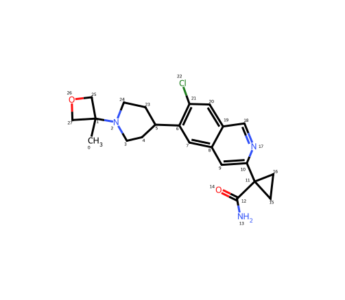 CC1(N2CCC(c3cc4cc(C5(C(N)=O)CC5)ncc4cc3Cl)CC2)COC1